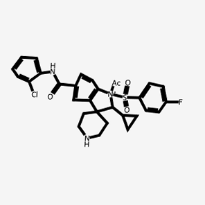 CC(=O)[N+]1(S(=O)(=O)c2ccc(F)cc2)c2ccc(C(=O)Nc3ccccc3Cl)cc2C2(CCNCC2)C1C1CC1